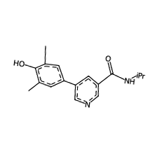 Cc1cc(-c2cncc(C(=O)NC(C)C)c2)cc(C)c1O